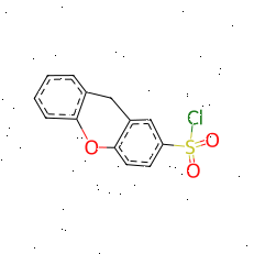 O=S(=O)(Cl)c1ccc2c(c1)Cc1ccccc1O2